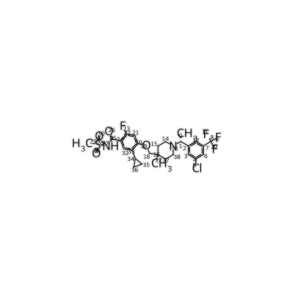 C[C@H](c1cc(Cl)cc(C(F)(F)F)c1)N1CCC(C)(COc2cc(F)c(C(=O)NS(C)(=O)=O)cc2C2CC2)CC1